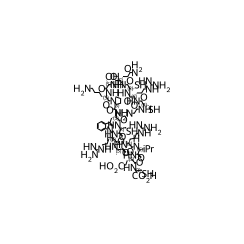 CC(C)[C@H](NC(=O)[C@H](CCCNC(=N)N)NC(=O)[C@H](C)NC(=O)[C@H](CCCNC(=N)N)NC(=O)[C@H](CS)NC(=O)[C@H](Cc1c[nH]c2ccccc12)NC(=O)[C@@H]1CCCN1C(=O)[C@H](CCCCN)NC(=O)[C@H](CO)NC(=O)[C@H](CCC(N)=O)NC(=O)[C@H](CS)NC(=O)[C@H](CCCNC(=N)N)NC(=O)[C@H](CS)NC(=O)CN)C(=O)N[C@@H](CCC(=O)O)C(=O)N[C@@H](CS)C(=O)O